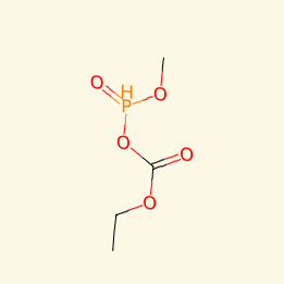 CCOC(=O)O[PH](=O)OC